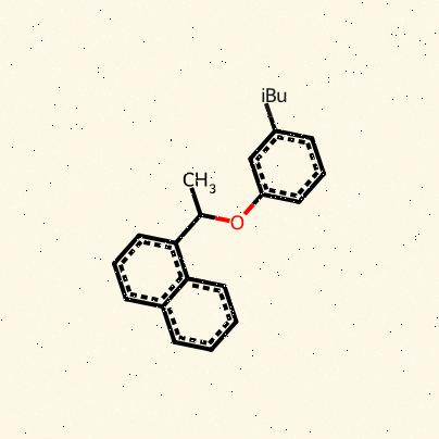 CCC(C)c1cccc(OC(C)c2cccc3ccccc23)c1